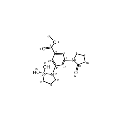 COC(=O)c1cc(N2CCCC2=O)cc(N2CCCS2(O)O)c1